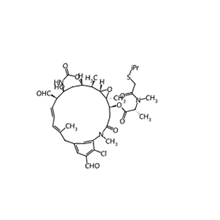 C/C1=C\C=C\[C@@H](C=O)[C@@]2(O)C[C@H](OC(=O)N2)[C@@H](C)[C@@H]2O[C@@]2(C)[C@@H](OC(=O)[C@@H](C)N(C)C(=O)CSC(C)C)CC(=O)N(C)c2cc(cc(C=O)c2Cl)C1